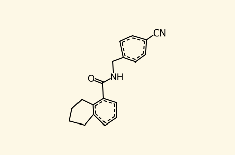 N#Cc1ccc(CNC(=O)c2cccc3c2CCCC3)cc1